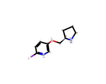 Ic1ccc(OC[C@H]2CCCN2)cn1